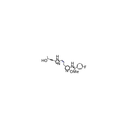 COc1ncc(C/C=C\c2ncc(C#CC(C)O)[nH]2)cc1NSC1=CCC=C(F)C=C1